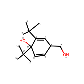 CC(C)(C)C1=CC(CO)C=CC1(O)C(C)(C)C